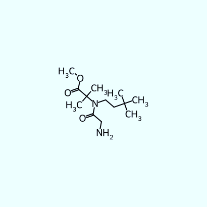 COC(=O)C(C)(C)N(CCC(C)(C)C)C(=O)CN